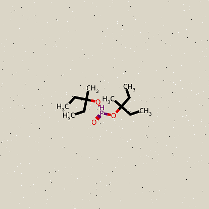 CCC(C)(CC)O[PH](=O)OC(C)(CC)CC